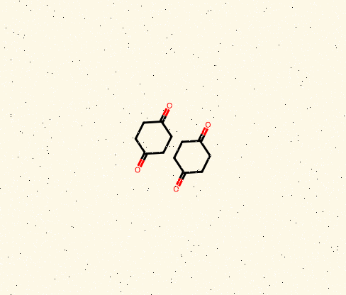 O=C1CCC(=O)CC1.O=C1CCC(=O)CC1